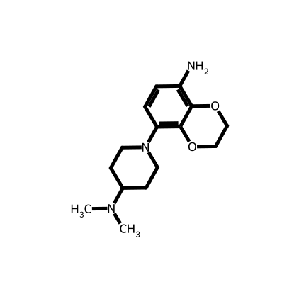 CN(C)C1CCN(c2ccc(N)c3c2OCCO3)CC1